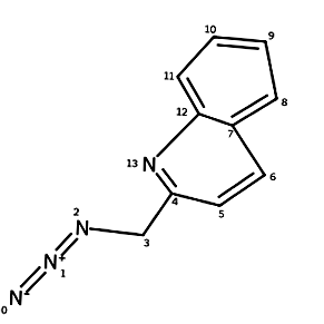 [N-]=[N+]=NCc1ccc2ccccc2n1